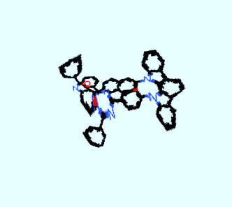 c1ccc(-c2nc(-c3ccccc3)nc(-c3ccc(-n4c5ccccc5c5ccc6c7ccccc7n(-c7ccc8cc(-c9cccc%10nc(-c%11ccccc%11)oc9%10)ccc8c7)c6c54)cc3)n2)cc1